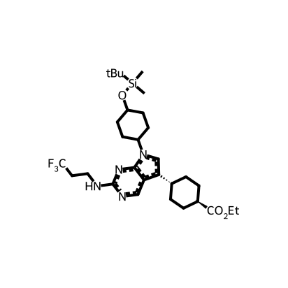 CCOC(=O)[C@H]1CC[C@H](c2cn(C3CCC(O[Si](C)(C)C(C)(C)C)CC3)c3nc(NCCC(F)(F)F)ncc32)CC1